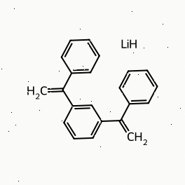 C=C(c1ccccc1)c1cccc(C(=C)c2ccccc2)c1.[LiH]